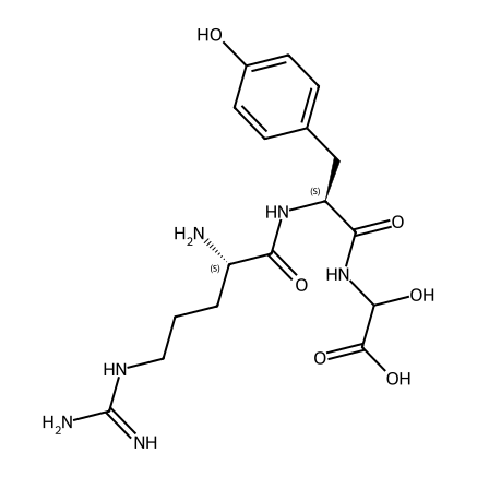 N=C(N)NCCC[C@H](N)C(=O)N[C@@H](Cc1ccc(O)cc1)C(=O)NC(O)C(=O)O